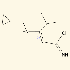 CC(C)/C(=N\C(=N)Cl)NCC1CC1